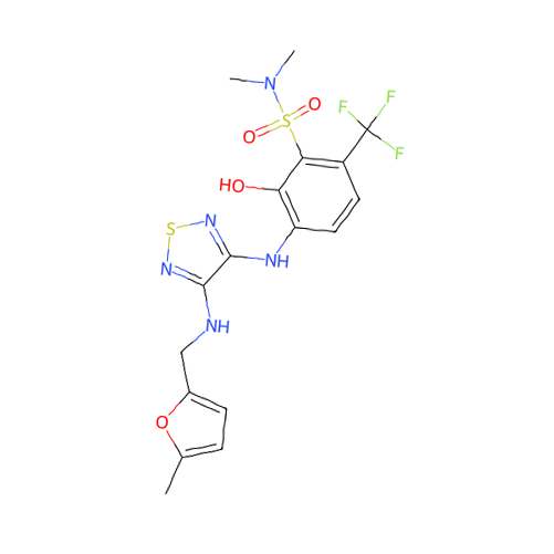 Cc1ccc(CNc2nsnc2Nc2ccc(C(F)(F)F)c(S(=O)(=O)N(C)C)c2O)o1